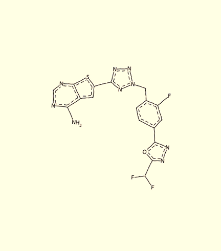 Nc1ncnc2sc(-c3nnn(Cc4ccc(-c5nnc(C(F)F)o5)cc4F)n3)cc12